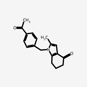 CC(=O)c1ccc(Cn2c(C)cc3c2CCCC3=O)cc1